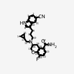 N#Cc1ccc2[nH]cc(CCCN(CC3CC3)[C@@H]3COc4c(F)ccc(C(N)=O)c4C3)c2c1